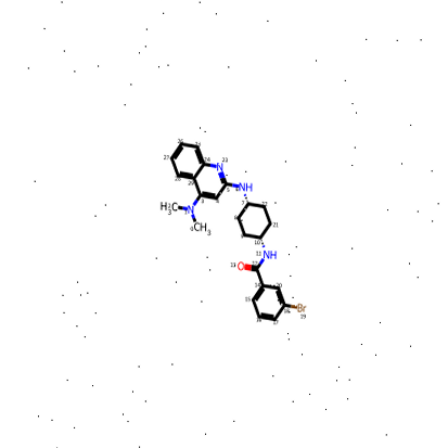 CN(C)c1cc(N[C@H]2CC[C@@H](NC(=O)c3cccc(Br)c3)CC2)nc2ccccc12